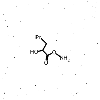 CC(C)CC(O)C(=O)ON